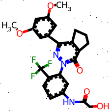 COc1cc(OC)cc(-c2nn(-c3cc(NC(=O)CO)ccc3C(F)(F)F)c(=O)c3c2CCC3)c1